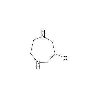 [O]C1CNCCNC1